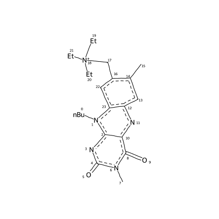 CCCCn1c2nc(=O)n(C)c(=O)c-2nc2cc(C)c(C[N+](CC)(CC)CC)cc21